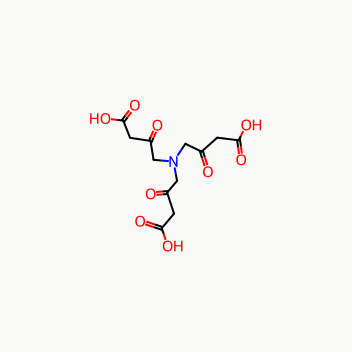 O=C(O)CC(=O)CN(CC(=O)CC(=O)O)CC(=O)CC(=O)O